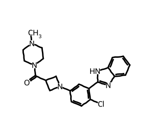 CN1CCN(C(=O)C2CN(c3ccc(Cl)c(-c4nc5ccccc5[nH]4)c3)C2)CC1